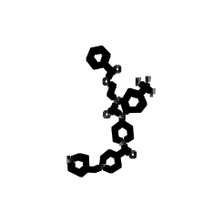 O=C(OCCn1c(=O)n(C2CCN(C(=O)C3CCN(Cc4ccncc4)CC3)CC2)c2ccc(C(F)(F)F)cc21)c1ccccc1